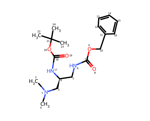 CN(C)C[C@H](CNC(=O)OCc1ccccc1)NC(=O)OC(C)(C)C